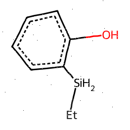 CC[SiH2]c1ccccc1O